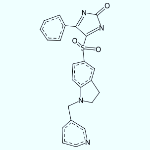 O=C1N=C(c2ccccc2)C(S(=O)(=O)c2ccc3c(c2)CCN3Cc2cccnc2)=N1